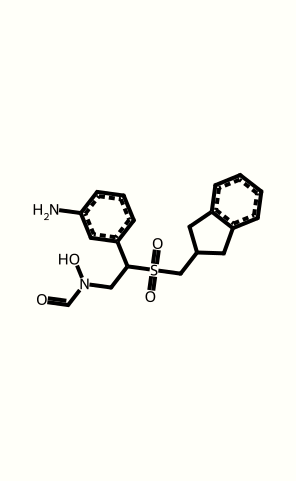 Nc1cccc(C(CN(O)C=O)S(=O)(=O)CC2Cc3ccccc3C2)c1